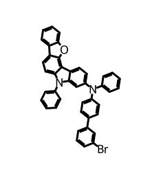 Brc1cccc(-c2ccc(N(c3ccccc3)c3ccc4c5c6oc7ccccc7c6ccc5n(-c5ccccc5)c4c3)cc2)c1